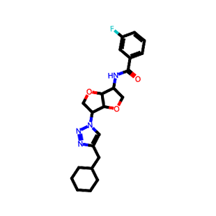 O=C(NC1COC2C1OCC2n1cc(CC2CCCCC2)nn1)c1cccc(F)c1